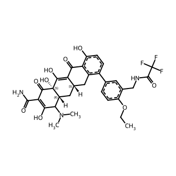 CCOc1ccc(-c2ccc(O)c3c2C[C@@H]2C[C@@H]4C(N(C)C)C(O)=C(C(N)=O)C(=O)[C@@]4(O)C(O)=C2C3=O)cc1CNC(=O)C(F)(F)F